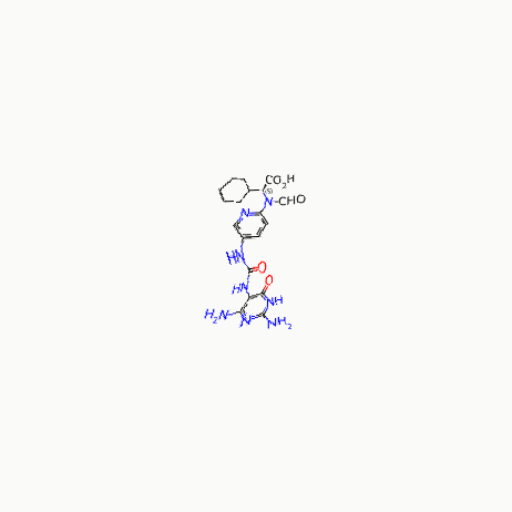 Nc1nc(N)c(NC(=O)Nc2ccc(N(C=O)[C@H](C(=O)O)C3CCCCC3)nc2)c(=O)[nH]1